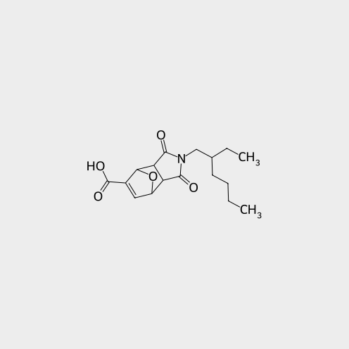 CCCCC(CC)CN1C(=O)C2C3C=C(C(=O)O)C(O3)C2C1=O